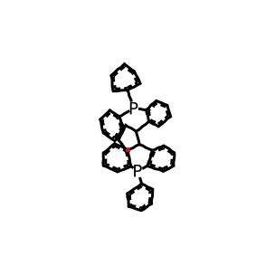 c1ccc(P(c2ccccc2)c2ccccc2C2CCCC2c2ccccc2P(c2ccccc2)c2ccccc2)cc1